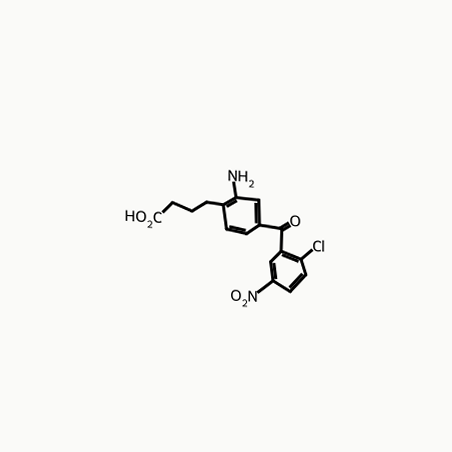 Nc1cc(C(=O)c2cc([N+](=O)[O-])ccc2Cl)ccc1CCCC(=O)O